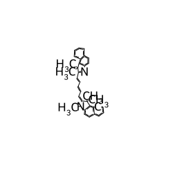 CN1/C(=C/C=C/C=C/C2=Nc3ccc4ccccc4c3C2(C)C)C(C)(C)c2c1ccc1ccccc21